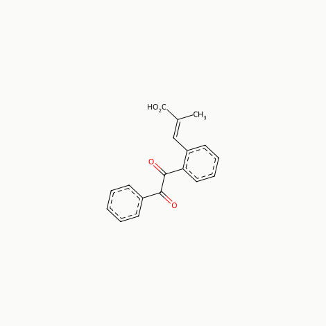 CC(=Cc1ccccc1C(=O)C(=O)c1ccccc1)C(=O)O